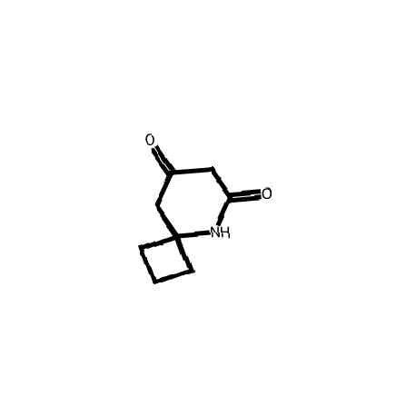 O=C1CC(=O)NC2(CCC2)C1